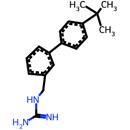 CC(C)(C)c1ccc(-c2cccc(CNC(=N)N)c2)cc1